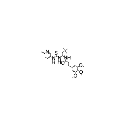 C=C/N=C\C(=C/C)NC(=S)NC(CC(C)(C)C)NC(=O)/C=C/c1cc(OC)c(OC)c(OC)c1